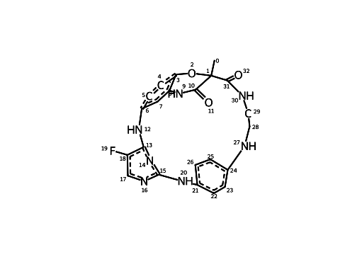 CC12Oc3ccc(cc3NC1=O)Nc1nc(ncc1F)Nc1ccc(cc1)NCCNC2=O